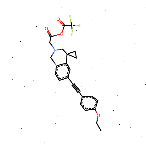 CCOc1ccc(C#Cc2ccc3c(c2)C2(CC2)CN(CC(=O)OC(=O)C(F)(F)F)C3)cc1